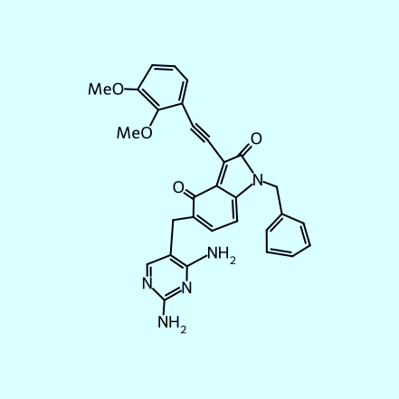 COc1cccc(C#CC2=C3C(=O)C(Cc4cnc(N)nc4N)=CC=C3N(Cc3ccccc3)C2=O)c1OC